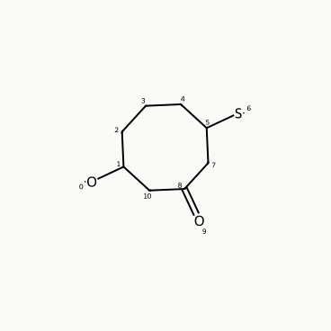 [O]C1CCCC([S])CC(=O)C1